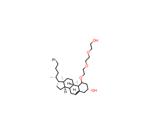 CC(C)CCC[C@@H](C)[C@H]1CC[C@H]2[C@@H]3CC=C4C[C@@H](O)CC(OCCOCCOCCO)[C@]4(C)[C@H]3CC[C@]12C